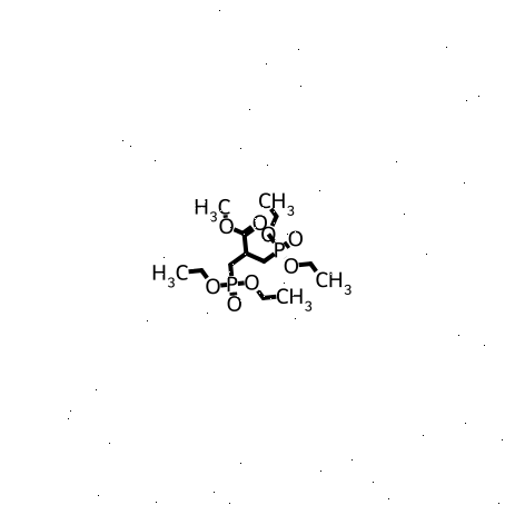 CCOP(=O)(CC(CP(=O)(OCC)OCC)C(=O)OC)OCC